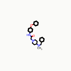 CN(Cc1ccccc1)C1CCN(CC(=O)Nc2ccc(Oc3ccccc3)cc2)CC1